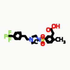 Cc1ccc(S(=O)(=O)N2CCN(CCc3ccc(C(F)(F)F)cc3)CC2)cc1CC(=O)O